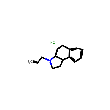 C=CCN1CCC2c3ccccc3CCC21.Cl